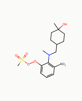 CN(CC1CCC(C)(O)CC1)c1c(OOS(C)(=O)=O)cccc1[N+](=O)[O-]